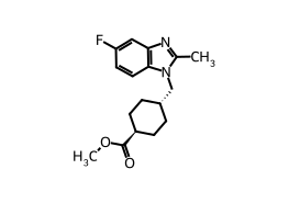 COC(=O)[C@H]1CC[C@H](Cn2c(C)nc3cc(F)ccc32)CC1